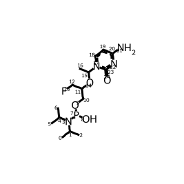 CC(C)N(C(C)C)P(O)OCC(CF)OC(C)n1ccc(N)nc1=O